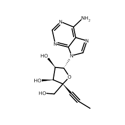 CC#C[C@]1(CO)O[C@@H](n2cnc3c(N)ncnc32)[C@H](O)[C@@H]1O